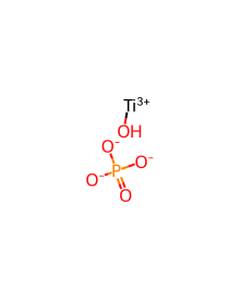 O=P([O-])([O-])[O-].[OH][Ti+3]